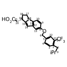 CC(C)Cc1ccc(COc2ccc3c(c2)cc2n3CC[C@H]2CC(=O)O)cc1C(F)(F)F